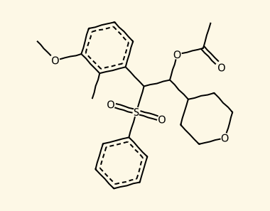 COc1cccc(C(C(OC(C)=O)C2CCOCC2)S(=O)(=O)c2ccccc2)c1C